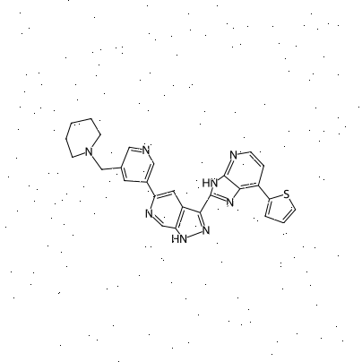 c1csc(-c2ccnc3[nH]c(-c4n[nH]c5cnc(-c6cncc(CN7CCCCC7)c6)cc45)nc23)c1